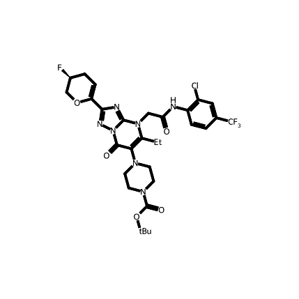 CCc1c(N2CCN(C(=O)OC(C)(C)C)CC2)c(=O)n2nc(C3=CC[C@H](F)CO3)nc2n1CC(=O)Nc1ccc(C(F)(F)F)cc1Cl